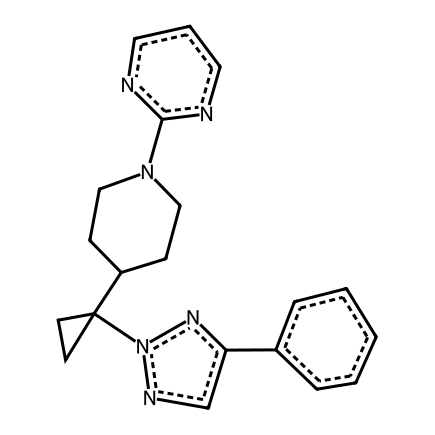 c1ccc(-c2cnn(C3(C4CCN(c5ncccn5)CC4)CC3)n2)cc1